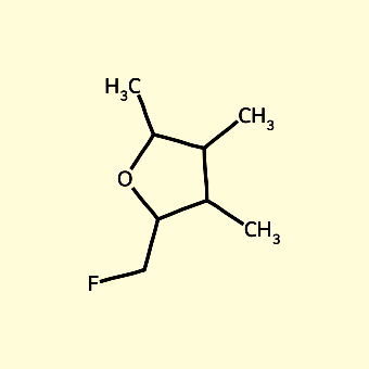 CC1OC(CF)C(C)C1C